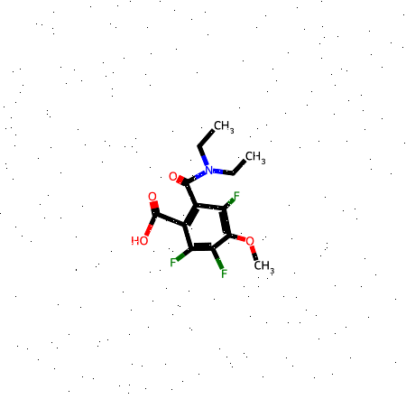 CCN(CC)C(=O)c1c(F)c(OC)c(F)c(F)c1C(=O)O